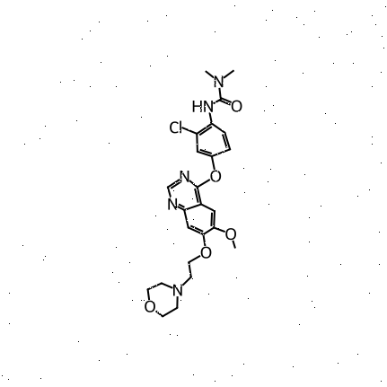 COc1cc2c(Oc3ccc(NC(=O)N(C)C)c(Cl)c3)ncnc2cc1OCCN1CCOCC1